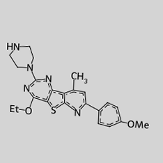 CCOc1nc(N2CCNCC2)nc2c1sc1nc(-c3ccc(OC)cc3)cc(C)c12